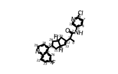 CC(C(=O)Nc1ccc(Cl)nc1)C1=C[C@H]2C[C@@H](c3ccnc4ccc(F)cc34)C[C@H]2C1